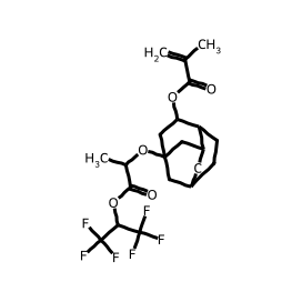 C=C(C)C(=O)OC1CC2(OC(C)C(=O)OC(C(F)(F)F)C(F)(F)F)CC3CCC1C(C3)C2